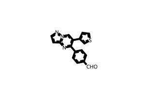 O=Cc1ccc(-c2nc3ccnn3cc2-c2ccsc2)cc1